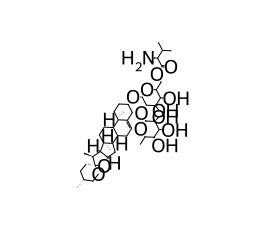 CC1O[C@@H](OC2C(O)[C@H](O)C(COC(=O)[C@@H](N)C(C)C)O[C@H]2O[C@H]2CC[C@@]3(C)C(=CC[C@H]4[C@@H]5C[C@@H]6O[C@]7(CC[C@@H](C)CO7)[C@@H](C)[C@@H]6[C@@]5(C)CC[C@@H]43)C2)[C@@H](O)C(O)[C@H]1O